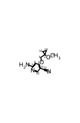 COC1(COc2cc(N)ncc2C#N)CC1